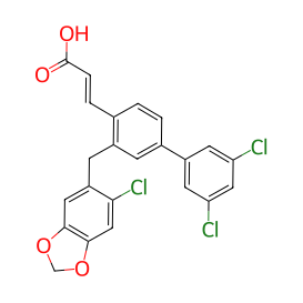 O=C(O)C=Cc1ccc(-c2cc(Cl)cc(Cl)c2)cc1Cc1cc2c(cc1Cl)OCO2